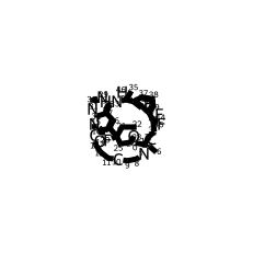 CC1CC2CC(C)N1CCCCCCCn1c(=O)c(C3(F)CCOCC3)cc3c(ncnc31)N[C@H](C)c1cccc(c1F)C2(F)F